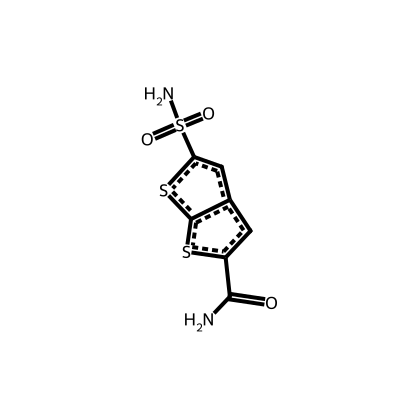 NC(=O)c1cc2cc(S(N)(=O)=O)sc2s1